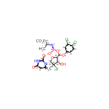 CCOC(=O)[C@H](C)/N=[P+](\[O-])OC(Oc1ccc(Cl)c(Cl)c1)[C@@H]1O[C@@H](n2ccc(=O)[nH]c2=O)[C@](C)(F)[C@@H]1O